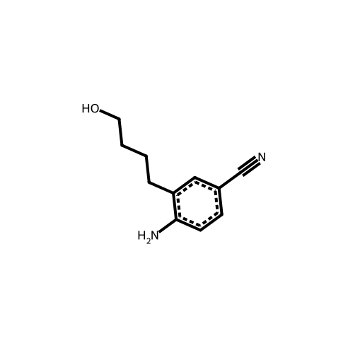 N#Cc1ccc(N)c(CCCCO)c1